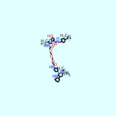 Cc1ncsc1-c1ccc(CNC(=O)[C@@H]2C[C@@H](O)CN2C(=O)C(NC(=O)COCCOCCOCC(=O)Nc2ccc([C@@H]3c4[nH]c5ccccc5c4C[C@@H](C)N3CC(C)(C)F)cc2)C(C)(C)C)cc1